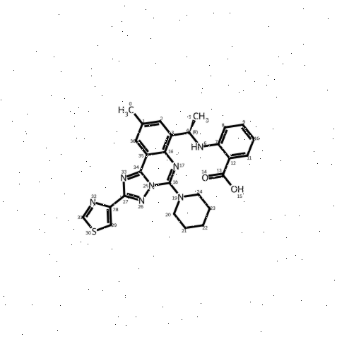 Cc1cc([C@@H](C)Nc2ccccc2C(=O)O)c2nc(N3CCCCC3)n3nc(-c4cscn4)nc3c2c1